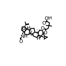 C=C(C)[C@@H]1CC[C@]2(CNC=O)CC[C@]3(C)[C@H](CCC4[C@@]5(C)CC[C@@](OC(=O)CC(C)(C)CC(=O)O)(C6CC6)C(C)(C)[C@@H]5CC[C@]43C)[C@@H]12